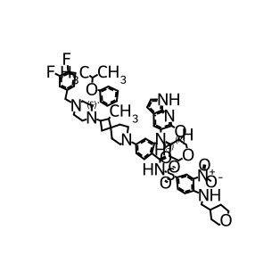 CC(C)Oc1ccccc1[C@H]1CN(Cc2ccc(F)c(F)c2)CCN1C1CC2(CCN(c3ccc(C(=O)NS(=O)(=O)c4ccc(NCC5CCOCC5)c([N+](=O)[O-])c4)c(N4c5cc6cc[nH]c6nc5O[C@H]5COCC[C@@H]54)c3)CC2)C1C